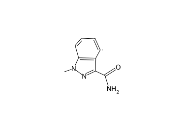 Cn1nc(C(N)=O)c2[c]cccc21